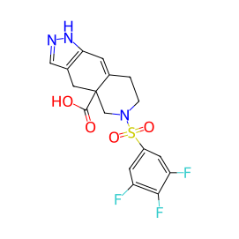 O=C(O)C12Cc3cn[nH]c3C=C1CCN(S(=O)(=O)c1cc(F)c(F)c(F)c1)C2